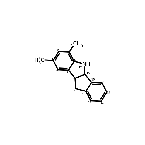 Cc1cc(C)c2c(c1)C1Cc3ccccc3C1N2